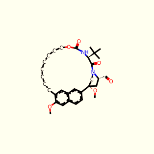 COc1cc2ccc3cc2cc1CCCCCCCCOC(=O)N[C@@H](C(C)(C)C)C(=O)N1C[C@@]3(OC)C[C@H]1C=O